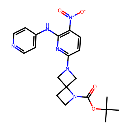 CC(C)(C)OC(=O)N1CCC12CN(c1ccc([N+](=O)[O-])c(Nc3ccncc3)n1)C2